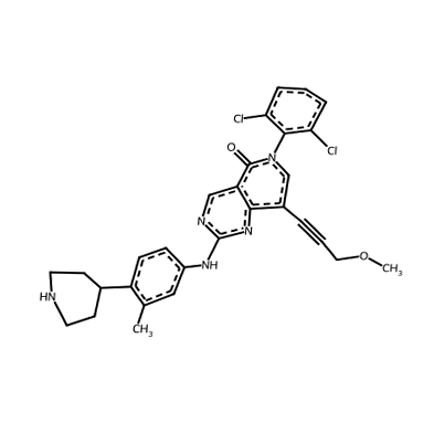 COCC#Cc1cn(-c2c(Cl)cccc2Cl)c(=O)c2cnc(Nc3ccc(C4CCNCC4)c(C)c3)nc12